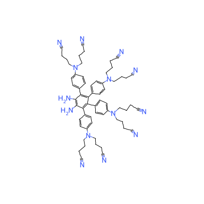 N#CCCCN(CCCC#N)c1ccc(-c2c(N)c(N)c(-c3ccc(N(CCCC#N)CCCC#N)cc3)c(-c3ccc(N(CCCC#N)CCCC#N)cc3)c2-c2ccc(N(CCCC#N)CCCC#N)cc2)cc1